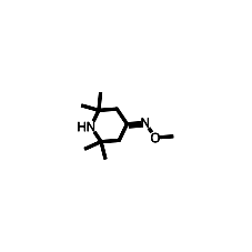 CON=C1CC(C)(C)NC(C)(C)C1